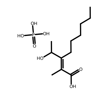 CCCCCC/C(=C(/C)C(=O)O)C(C)O.O=P(O)(O)O